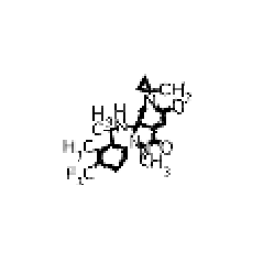 Cc1c([C@@H](C)Nc2nn(C)c(=O)c3cc(=O)n(C4(C)CC4)cc23)cccc1C(F)(F)F